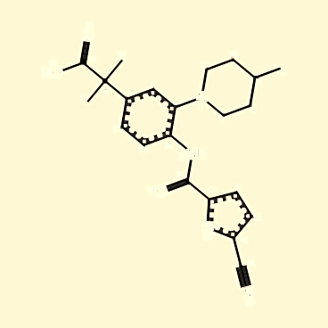 CC1CCN(c2cc(C(C)(C)C(=O)O)ccc2NC(=O)c2ccc(C#N)o2)CC1